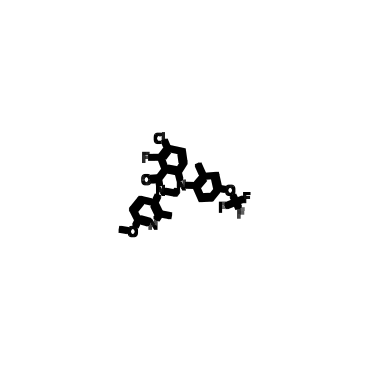 COc1ccc(N2CN(c3ccc(OC(F)(F)F)cc3C)c3ccc(Cl)c(F)c3C2=O)c(C)n1